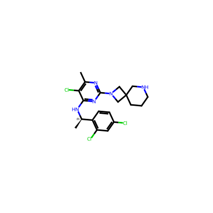 Cc1nc(N2CC3(CCCNC3)C2)nc(N[C@H](C)c2ccc(Cl)cc2Cl)c1Cl